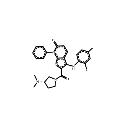 CN(C)[C@H]1CCN(C(=O)c2sc3c(ccc(=O)n3-c3ccccc3)c2Nc2ccc(F)cc2F)C1